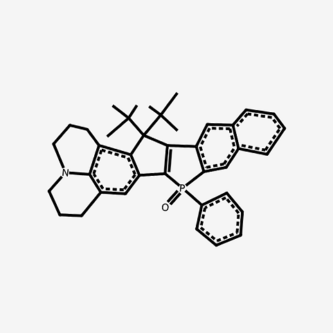 CC(C)(C)C1(C(C)(C)C)C2=C(c3cc4c5c(c31)CCCN5CCC4)P(=O)(c1ccccc1)c1cc3ccccc3cc12